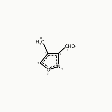 Cc1conc1[C]=O